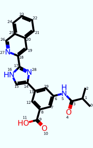 CC(C)C(=O)Nc1cc(C(=O)O)cc(-c2c[nH]c(-c3cc4ccccc4cn3)n2)c1